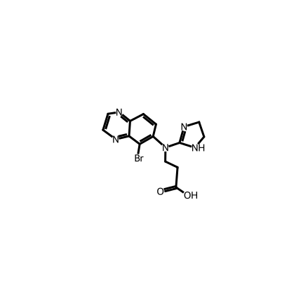 O=C(O)CCN(C1=NCCN1)c1ccc2nccnc2c1Br